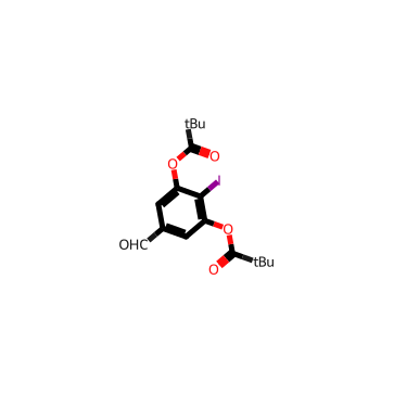 CC(C)(C)C(=O)Oc1cc(C=O)cc(OC(=O)C(C)(C)C)c1I